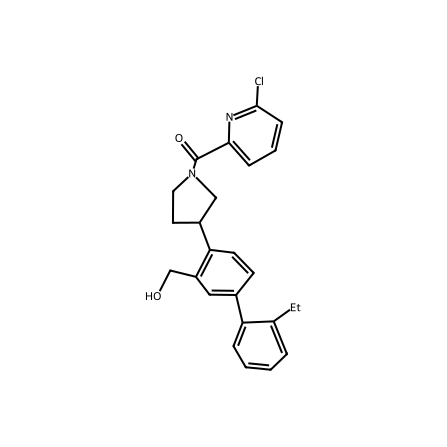 CCc1ccccc1-c1ccc(C2CCN(C(=O)c3cccc(Cl)n3)C2)c(CO)c1